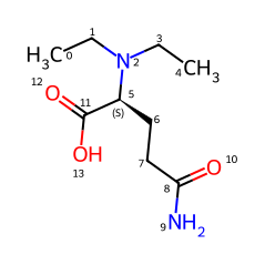 CCN(CC)[C@@H](CCC(N)=O)C(=O)O